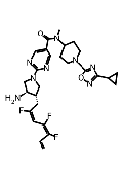 C=C/C(F)=C(F)\C=C(\F)C[C@H]1CN(c2ncc(C(=O)N(C)C3CCN(c4nc(C5CC5)no4)CC3)cn2)C[C@@H]1N